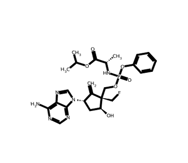 C=C1[C@@H](n2cnc3c(N)ncnc32)C[C@H](O)[C@@]1(CF)COP(=O)(N[C@@H](C)C(=O)OC(C)C)Oc1ccccc1